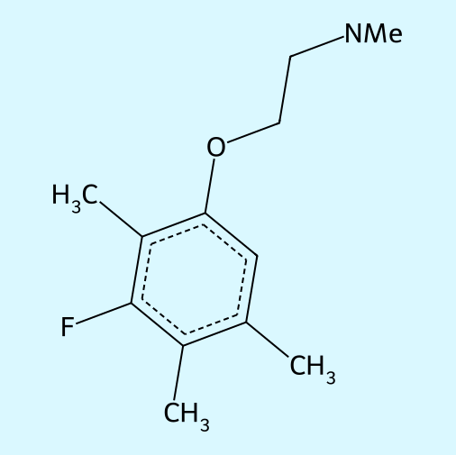 CNCCOc1cc(C)c(C)c(F)c1C